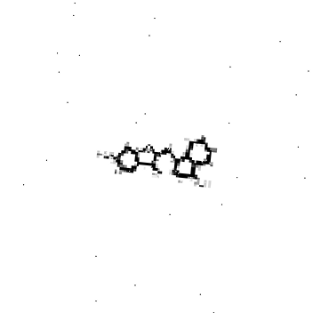 O=C1C(=Cc2ccc(O)c3ccccc23)Oc2cc(O)ccc21